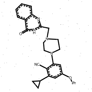 CC(C)Oc1cc(C2CC2)c(C#N)c(N2CCN(Cc3nc4ccccc4c(=O)[nH]3)CC2)c1